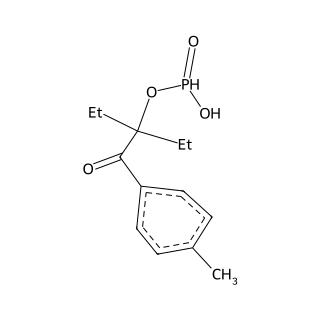 CCC(CC)(O[PH](=O)O)C(=O)c1ccc(C)cc1